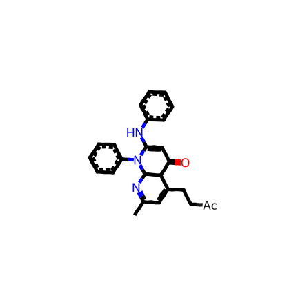 CC(=O)CCC1=CC(C)=NC2C1C(=O)C=C(Nc1ccccc1)N2c1ccccc1